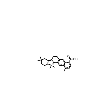 Cc1ccc(C(=O)O)c2cc3c(cc12)C1C(=C2CC(C)(C)CCC2[N+]1(C)C)CC3